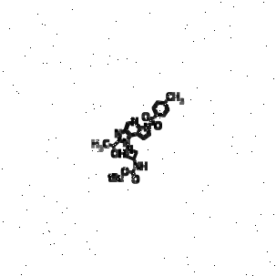 Cc1ccc(S(=O)(=O)n2ccc3c2ncc2nc(C(C)O)n(N4CC(NC(=O)OC(C)(C)C)C4)c23)cc1